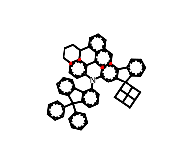 c1ccc(C2(c3ccccc3)c3ccccc3-c3c(N(c4ccc5c(c4)C4(c6ccccc6-5)C5CC6CC7CC4C675)c4ccccc4-c4cccc5cccc(C6CCCCC6)c45)cccc32)cc1